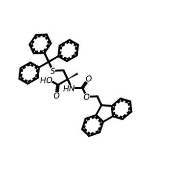 C[C@@](CSC(c1ccccc1)(c1ccccc1)c1ccccc1)(NC(=O)OCC1c2ccccc2-c2ccccc21)C(=O)O